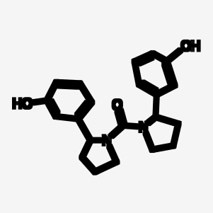 O=C(N1CCCC1c1cccc(O)c1)N1CCCC1c1cccc(O)c1